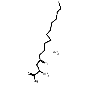 CCCCCCCCCCCC(=O)CC(N)C(=O)O.N